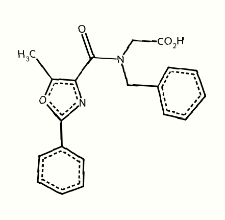 Cc1oc(-c2ccccc2)nc1C(=O)N(CC(=O)O)Cc1ccccc1